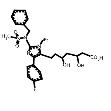 CC(C)n1c(N(Cc2ccccc2)S(C)(=O)=O)nc(-c2ccc(F)cc2)c1CCC(O)CC(O)CC(=O)O